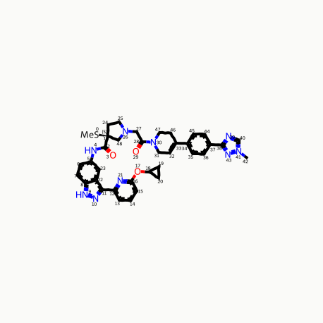 CS[C@@]1(C(=O)Nc2ccc3[nH]nc(-c4cccc(OC5CC5)n4)c3c2)CCN(CC(=O)N2CC=C(c3ccc(-c4ncn(C)n4)cc3)CC2)C1